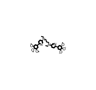 CCN(CCCN(CC)c1ccc(-c2cc(OC)c(OC)c(OC)c2)nc1)c1ccc(-c2cc(OC)c(OC)c(OC)c2)nc1